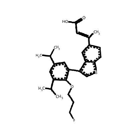 CC(=CC(=O)O)c1ccc2scc(-c3cc(C(C)C)cc(C(C)C)c3OCCCF)c2c1